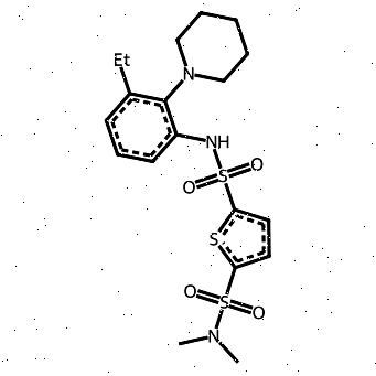 CCc1cccc(NS(=O)(=O)c2ccc(S(=O)(=O)N(C)C)s2)c1N1CCCCC1